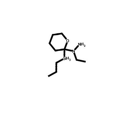 CCC[SiH2]C1(N(N)CC)CCCCO1